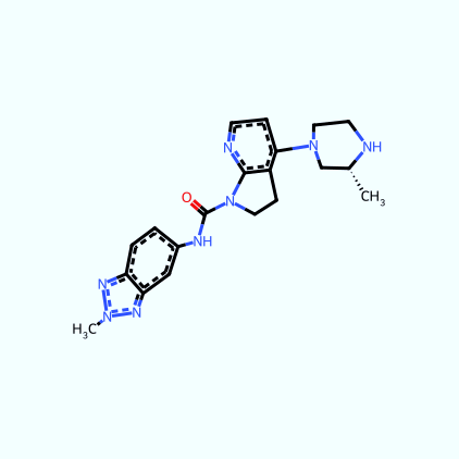 C[C@@H]1CN(c2ccnc3c2CCN3C(=O)Nc2ccc3nn(C)nc3c2)CCN1